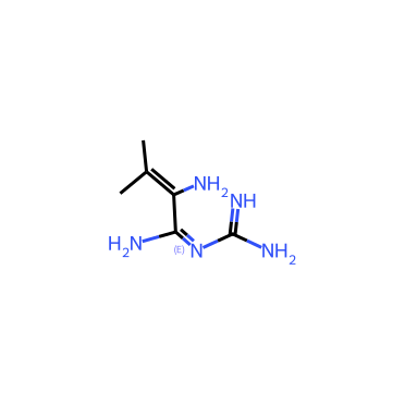 CC(C)=C(N)/C(N)=N\C(=N)N